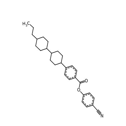 CCCC1CCC(C2CCC(c3ccc(C(=O)Oc4ccc(C#N)cc4)cc3)CC2)CC1